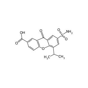 CC(C)c1cc(S(N)(=O)=O)cc2c(=O)c3cc(C(=O)O)ccc3oc12